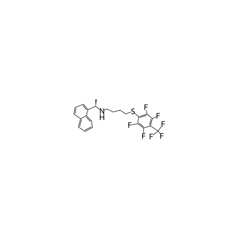 C[C@@H](NCCCCSc1c(F)c(F)c(C(F)(F)F)c(F)c1F)c1cccc2ccccc12